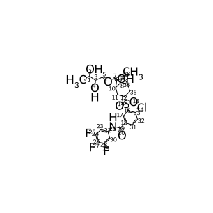 CC(O)C(O)COC[C@@]1(O)C2C[C@@H](S(=O)(=O)c3cc(C(=O)Nc4cc(F)c(F)c(F)c4)ccc3Cl)CC1[C@@H](C)C2